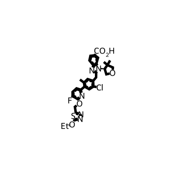 CCOc1nnc(COc2nc(-c3cc(Cl)c(Cc4nc5ccc(C(=O)O)cc5n4[C@@H]4COCC4(C)C)cc3C)ccc2F)s1